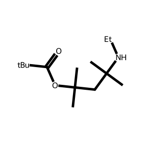 CCNC(C)(C)CC(C)(C)OC(=O)C(C)(C)C